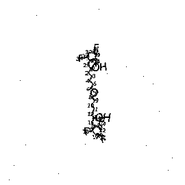 OC(CCCC=COC=CCCCC(O)Cc1c(F)cc(F)cc1F)Cc1c(F)cc(F)cc1F